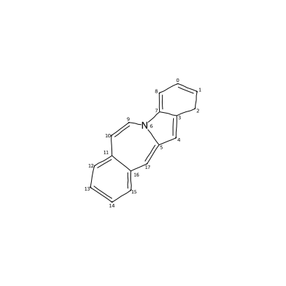 C1=CCc2cc3n(c2=C1)C=Cc1ccccc1C=3